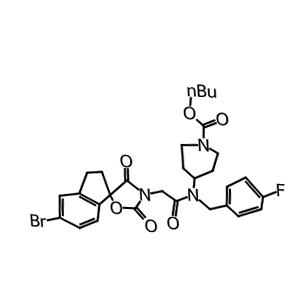 CCCCOC(=O)N1CCC(N(Cc2ccc(F)cc2)C(=O)CN2C(=O)OC3(CCc4cc(Br)ccc43)C2=O)CC1